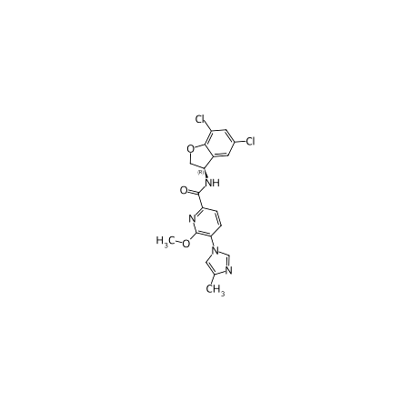 COc1nc(C(=O)N[C@H]2COc3c(Cl)cc(Cl)cc32)ccc1-n1cnc(C)c1